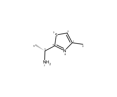 Cc1csc([C@@H](C)N)n1